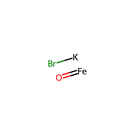 [K][Br].[O]=[Fe]